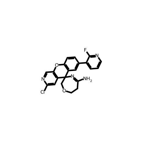 NC1=NC2(COCC1)c1cc(-c3cccnc3F)ccc1Oc1cnc(Cl)cc12